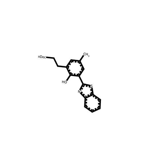 CCCCCCCCCCCCc1cc(C)cc(-c2nc3ccccc3s2)c1O